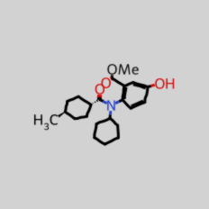 COC(=O)c1cc(O)ccc1N(C(=O)[C@H]1CC[C@H](C)CC1)C1CCCCC1